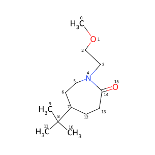 COCCN1CCC(C(C)(C)C)CCC1=O